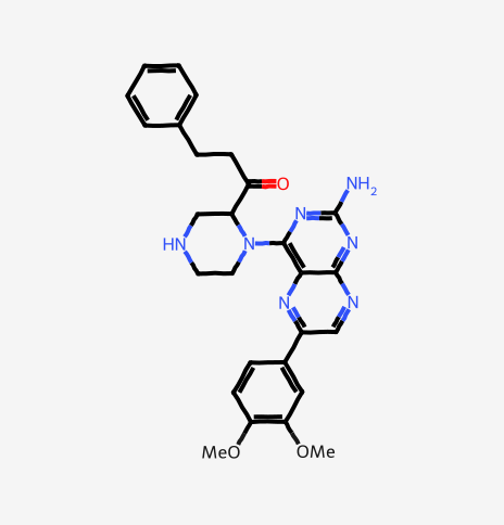 COc1ccc(-c2cnc3nc(N)nc(N4CCNCC4C(=O)CCc4ccccc4)c3n2)cc1OC